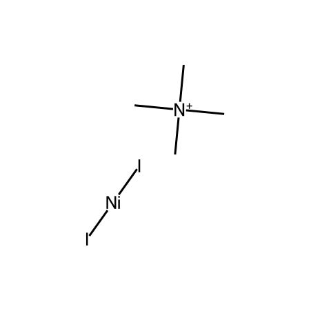 C[N+](C)(C)C.[I][Ni][I]